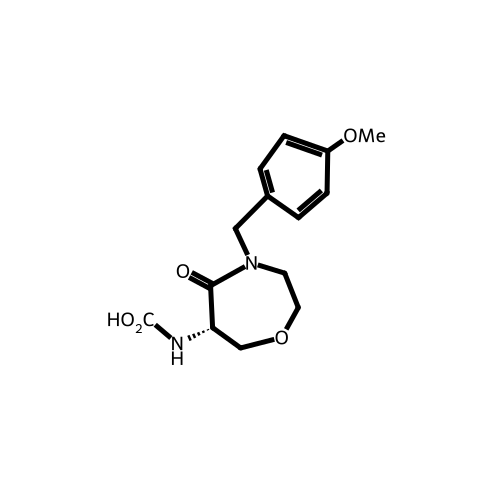 COc1ccc(CN2CCOC[C@H](NC(=O)O)C2=O)cc1